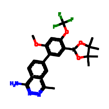 COc1cc(OC(F)(F)F)c(B2OC(C)(C)C(C)(C)O2)cc1-c1ccc2c(N)nnc(C)c2c1